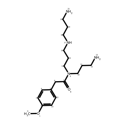 COc1ccc(CC(=O)N(CCCN)CCCNCCCN)cc1